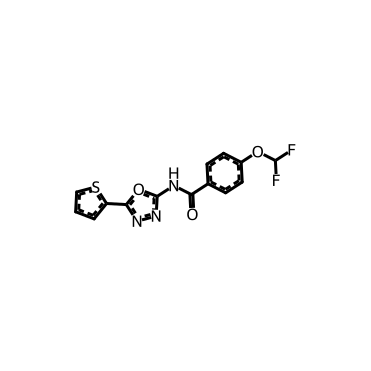 O=C(Nc1nnc(-c2cccs2)o1)c1ccc(OC(F)F)cc1